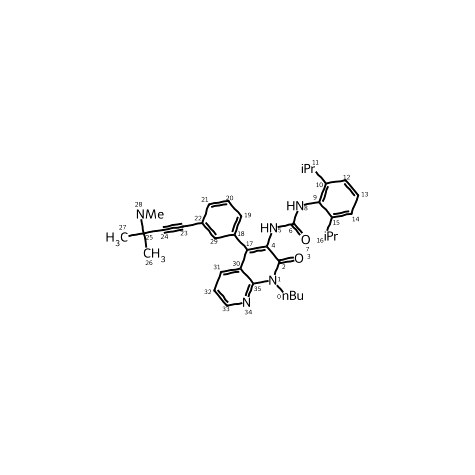 CCCCn1c(=O)c(NC(=O)Nc2c(C(C)C)cccc2C(C)C)c(-c2cccc(C#CC(C)(C)NC)c2)c2cccnc21